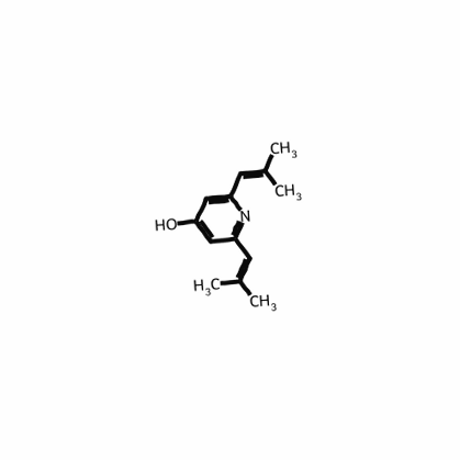 CC(C)=Cc1cc(O)cc(C=C(C)C)n1